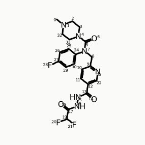 CN1CCN(C(=O)N(Cc2ccc(C(=O)NNC(=O)C(F)F)cn2)c2ccc(F)cc2)CC1